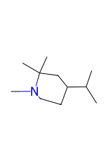 CC(C)C1CCN(C)C(C)(C)C1